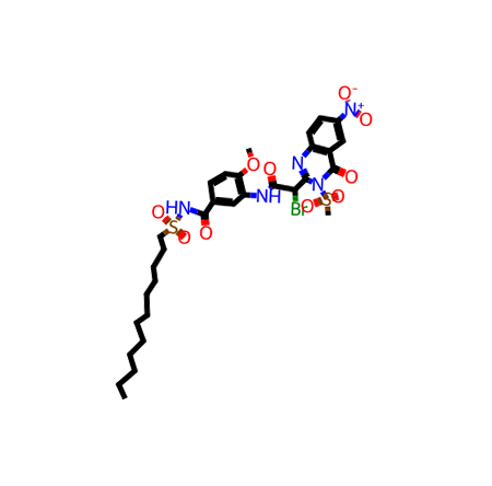 CCCCCCCCCCCCS(=O)(=O)NC(=O)c1ccc(OC)c(NC(=O)C(Br)c2nc3ccc([N+](=O)[O-])cc3c(=O)n2S(C)(=O)=O)c1